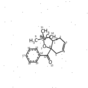 CC1CC=CCC1(O[Si](C)(C)C)C(=O)c1ccccc1